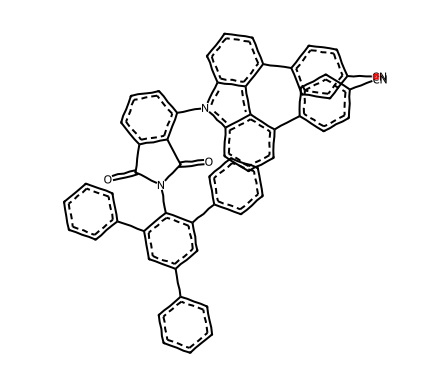 N#Cc1ccc(-c2cccc3c2c2c(-c4ccc(C#N)cc4)cccc2n3-c2cccc3c2C(=O)N(c2c(-c4ccccc4)cc(-c4ccccc4)cc2-c2ccccc2)C3=O)cc1